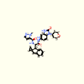 Cn1nccc1C(=O)N[C@H](C(=O)Nc1ccc2c(c1)[nH]c(=O)n2C1CCOCC1)C1c2ccccc2CC12CC2